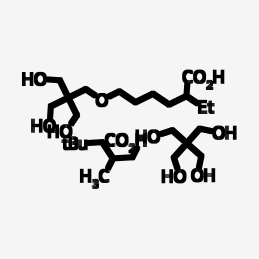 CC(CC(=O)O)CC(C)(C)C.CCC(CCCCOCC(CO)(CO)CO)C(=O)O.OCC(CO)(CO)CO